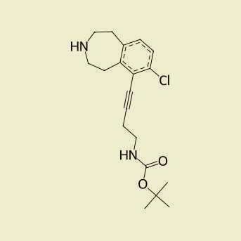 CC(C)(C)OC(=O)NCCC#Cc1c(Cl)ccc2c1CCNCC2